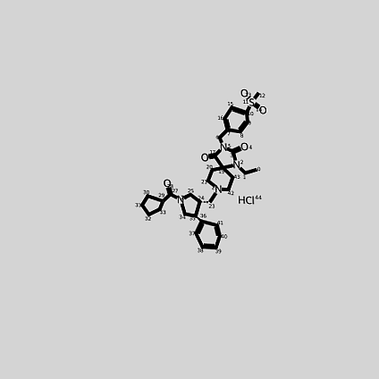 CCN1C(=O)N(Cc2ccc(S(C)(=O)=O)cc2)C(=O)C12CCN(C[C@H]1CN(C(=O)C3CCCC3)C[C@@H]1c1ccccc1)CC2.Cl